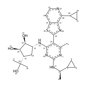 Cc1nc(N[C@H](C)C2CC2)nc(N[C@@H]2C[C@H](C(C)(C)O)[C@@H](O)[C@H]2O)c1-c1nc2c(C3CC3)nccc2s1